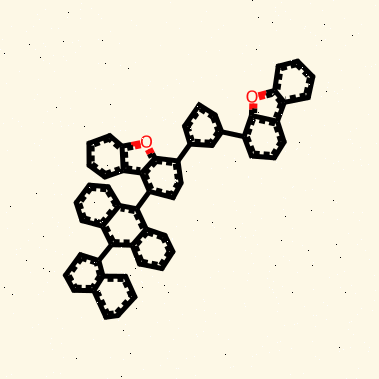 c1cc(-c2cccc3c2oc2ccccc23)cc(-c2ccc(-c3c4ccccc4c(-c4cccc5ccccc45)c4ccccc34)c3c2oc2ccccc23)c1